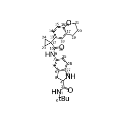 CC(C)(C)NC(=O)C1Cc2cc(NC(=O)C3(c4ccc5c(c4)CCCO5)CC3)ccc2N1